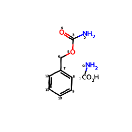 NC(=O)O.NC(=O)OCc1ccccc1